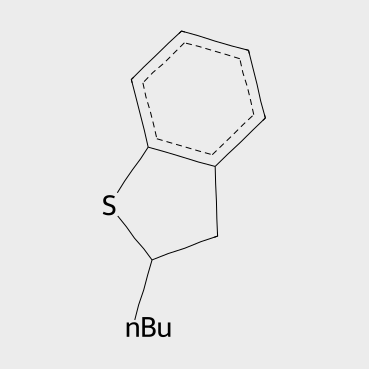 CCCCC1Cc2ccccc2S1